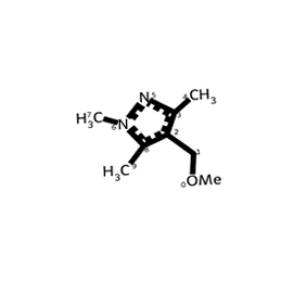 COCc1c(C)nn(C)c1C